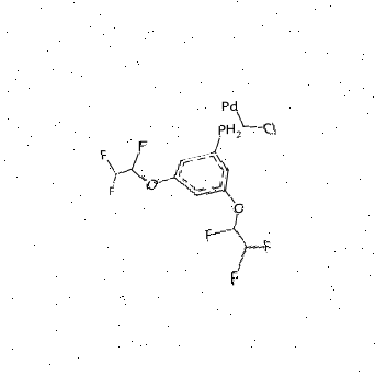 Cl[CH2][Pd].FC(F)C(F)Oc1cc(P)cc(OC(F)C(F)F)c1